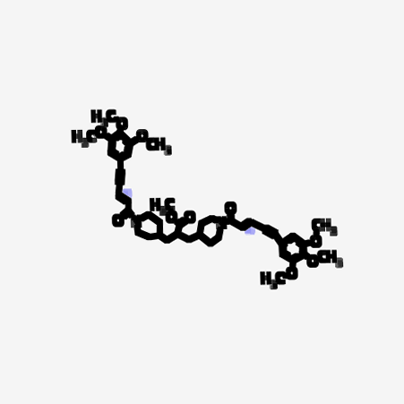 COC(=O)C(CC1CCN(C(=O)/C=C/C#Cc2cc(OC)c(OC)c(OC)c2)CC1)CC1CCN(C(=O)/C=C/C#Cc2cc(OC)c(OC)c(OC)c2)CC1